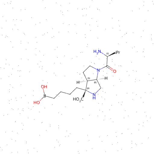 CC(C)[C@H](N)C(=O)N1CC[C@H]2[C@@H]1CN[C@@]2(CCCCB(O)O)C(=O)O